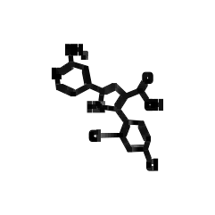 Nc1cc(-c2cc(C(=O)O)c(-c3ccc(Cl)cc3Cl)[nH]2)ccn1